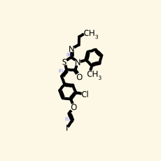 CCC/N=C1/S/C(=C/c2ccc(O/C=C/I)c(Cl)c2)C(=O)N1c1ccccc1C